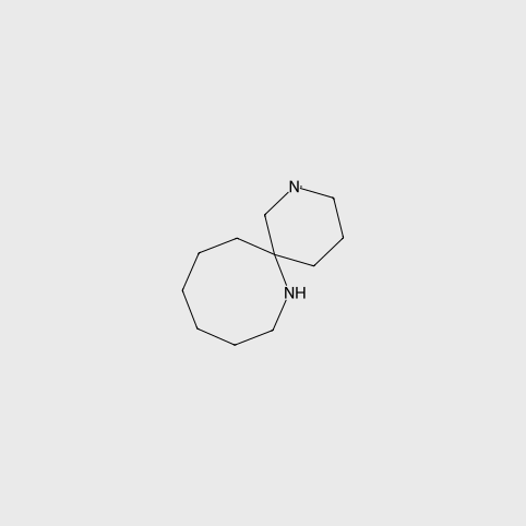 C1CCCC2(CCC[N]C2)NCC1